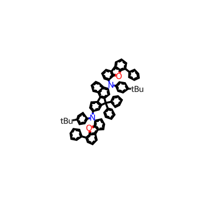 CC(C)(C)c1ccc(N(c2ccc3c(c2)C(c2ccccc2)(c2ccccc2)c2cc(N(c4ccc(C(C)(C)C)cc4)c4cccc5c4oc4c(-c6ccccc6)cccc45)c4ccccc4c2-3)c2cccc3c2oc2c(-c4ccccc4)cccc23)cc1